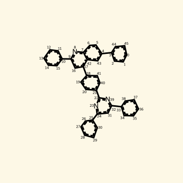 c1ccc(-c2ccc3nc(-c4ccccc4)cc(-c4ccc(-c5nc(-c6ccccc6)cc(-c6ccccc6)n5)cc4)c3c2)cc1